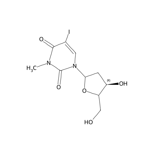 Cn1c(=O)c(I)cn(C2C[C@@H](O)C(CO)O2)c1=O